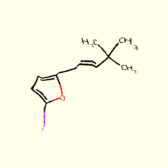 CC(C)(C)/C=C/c1ccc(I)o1